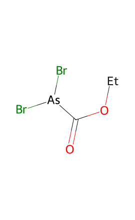 CCOC(=O)[As](Br)Br